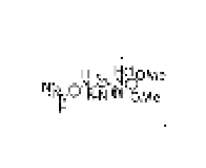 COc1cc(OC)c(Cl)c(NC(=O)c2csc3c(Nc4ccc(NN5CCN(C)CC5)cc4)ncnc23)c1Cl